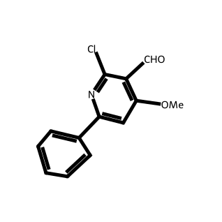 COc1cc(-c2ccccc2)nc(Cl)c1C=O